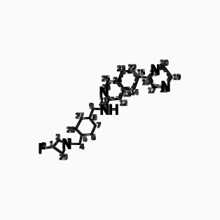 FC1CN(CC2CCC(CNc3cc4cc(-c5cnccn5)ccc4cn3)CC2)C1